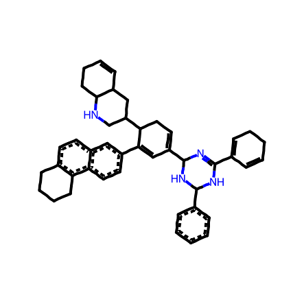 C1=CC(C2=NC(C3=CCC(C4CNC5CCC=CC5C4)C(c4ccc5c6c(ccc5c4)CCCC6)=C3)NC(c3ccccc3)N2)=CCC1